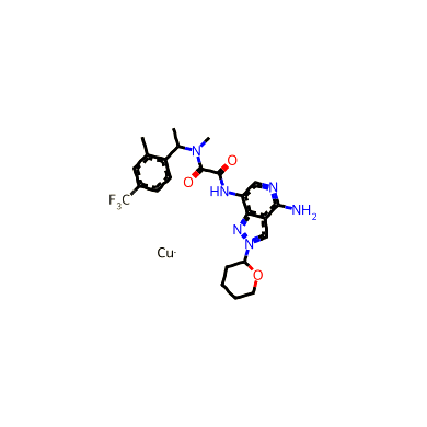 Cc1cc(C(F)(F)F)ccc1C(C)N(C)C(=O)C(=O)Nc1cnc(N)c2cn(C3CCCCO3)nc12.[Cu]